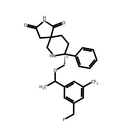 CC(OC[C@@]1(c2ccccc2)CCC2(CN1)CC(=O)NC2=O)c1cc(CF)cc(C(F)(F)F)c1